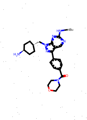 CCCCNc1ncc2c(-c3ccc(C(=O)N4CCOCC4)cc3)nn(C[C@H]3CC[C@H](N)CC3)c2n1